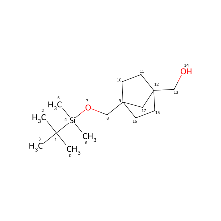 CC(C)(C)[Si](C)(C)OCC12CCC(CO)(CC1)C2